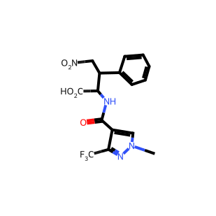 Cn1cc(C(=O)NC(C(=O)O)C(C[N+](=O)[O-])c2ccccc2)c(C(F)(F)F)n1